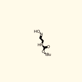 CC(C)(C)OC(=O)NC/C=N/O